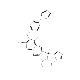 COc1nc2ccc(C(O)(c3cncn3C)C3CCOCC3)cc2c(C#N)c1Cc1ccc(-n2cccn2)cc1